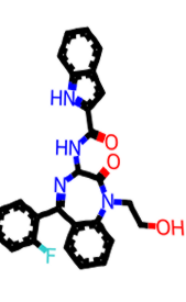 O=C(NC1N=C(c2ccccc2F)c2ccccc2N(CCO)C1=O)c1cc2ccccc2[nH]1